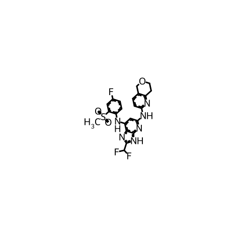 CS(=O)(=O)c1cc(F)ccc1Nc1cc(Nc2ccc3c(n2)CCOC3)nc2[nH]c(C(F)F)nc12